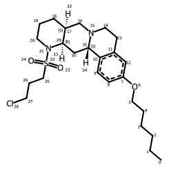 CCCCCCOc1ccc2c(c1)CCN1C[C@@H]3CCCN(S(=O)(=O)CCCCl)[C@@H]3C[C@@H]21